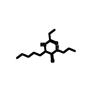 CCCCCC(NC(=O)CC)C(=O)NCCC